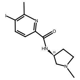 Cc1nc(C(=O)N[C@H]2CCN(C)C2)ccc1I